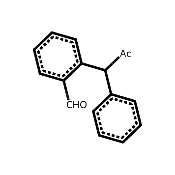 CC(=O)C(c1ccccc1)c1ccccc1C=O